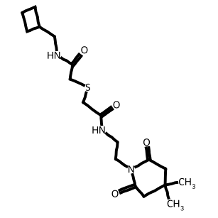 CC1(C)CC(=O)N(CCNC(=O)CSCC(=O)NCC2CCC2)C(=O)C1